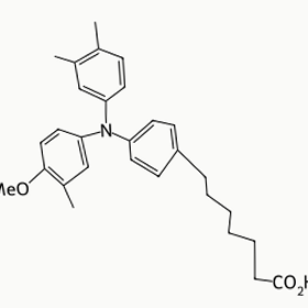 COc1ccc(N(c2ccc(CCCCCCC(=O)O)cc2)c2ccc(C)c(C)c2)cc1C